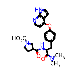 CN(C)C(=O)C(Cc1ccc(Oc2ccnc3[nH]ccc23)cc1)NC(=O)C1CCN(C(=O)O)C1